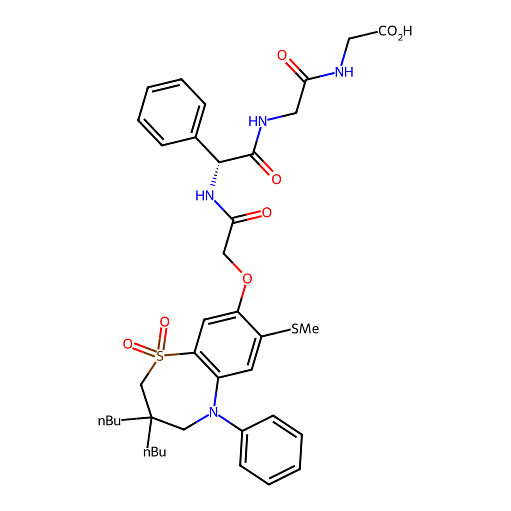 CCCCC1(CCCC)CN(c2ccccc2)c2cc(SC)c(OCC(=O)N[C@@H](C(=O)NCC(=O)NCC(=O)O)c3ccccc3)cc2S(=O)(=O)C1